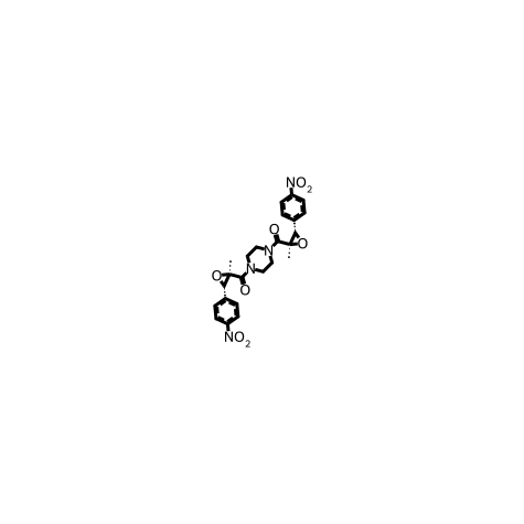 C[C@@]1(C(=O)N2CCN(C(=O)[C@]3(C)O[C@H]3c3ccc([N+](=O)[O-])cc3)CC2)O[C@H]1c1ccc([N+](=O)[O-])cc1